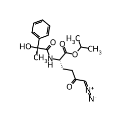 CC(C)OC(=O)[C@H](CCC(=O)C=[N+]=[N-])NC(=O)[C@](C)(O)c1ccccc1